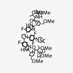 COC[C@H]1C[C@@H](c2nc3cc([C@H]4CC[C@H](c5cc6nc([C@@H]7C[C@H](COC)CN7C(=O)[C@@H](NC(=O)OC)[C@@H](C)OC)[nH]c6cc5F)N4c4cc(F)c(N5CC[Si](C)(C)CC5)c(F)c4)c(F)cc3[nH]2)N(C(=O)[C@@H](NC(=O)OC)[C@@H](C)OC)C1